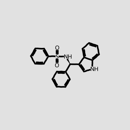 O=S(=O)(N[C@H](c1ccccc1)c1c[nH]c2ccccc12)c1ccccc1